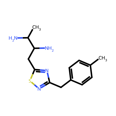 Cc1ccc(Cc2nsc(CC(N)C(C)N)n2)cc1